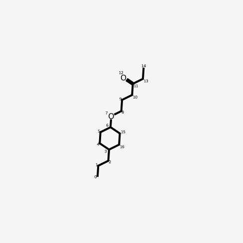 CCCC1CCC(OCCCC(=O)CC)CC1